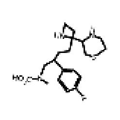 CN(CC(CCC1(C2CSCCN2)CCN1)c1ccc(F)cc1)C(=O)O